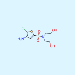 Nc1cc(S(=O)(=O)N(CCO)CCO)sc1Cl